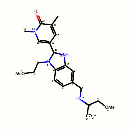 COCCN1c2ccc(CNC(COC)C(=O)O)cc2NC1c1cc(C)c(=O)n(C)c1